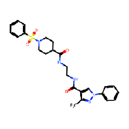 O=C(NCCNC(=O)C1CCN(S(=O)(=O)c2ccccc2)CC1)c1cn(-c2ccccc2)nc1C(F)(F)F